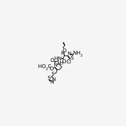 C=CCON=C(C(=O)NC1C(=O)N2C(OC(=O)O)=C(CSc3nncs3)CS[C@@H]12)c1nc(N)sc1Cl